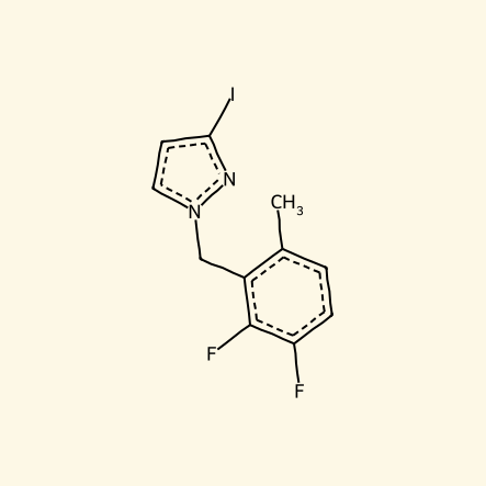 Cc1ccc(F)c(F)c1Cn1ccc(I)n1